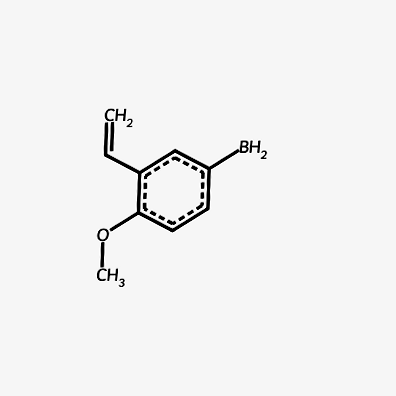 Bc1ccc(OC)c(C=C)c1